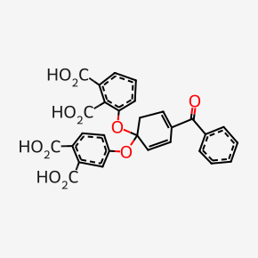 O=C(C1=CCC(Oc2ccc(C(=O)O)c(C(=O)O)c2)(Oc2cccc(C(=O)O)c2C(=O)O)C=C1)c1ccccc1